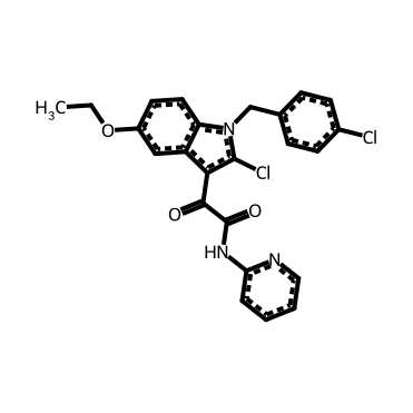 CCOc1ccc2c(c1)c(C(=O)C(=O)Nc1ccccn1)c(Cl)n2Cc1ccc(Cl)cc1